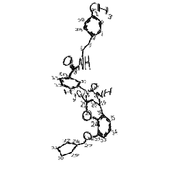 Cc1ccc(CCNC(=O)c2cccc(N3C(=O)NC4CC3(C)Oc3c(OCC5CCCC5)cccc34)c2)cc1